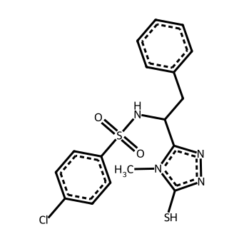 Cn1c(S)nnc1C(Cc1ccccc1)NS(=O)(=O)c1ccc(Cl)cc1